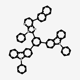 c1ccc(-n2c(-c3cc(-c4ccc5c(c4)c4ccccc4n5-c4ccccc4)cc(-c4ccc5c(c4)c4ccccc4n5-c4ccccc4)c3)nc3c(-c4ccc5ccccc5c4)ccnc32)cc1